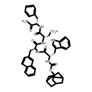 NC(=O)[C@H](Cc1ccccc1)NC(=O)[C@H](CC(=O)O)NC(=O)[C@H](Cc1ccc2ccccc2c1)NC(=O)[C@H](Cc1c[nH]c2ccccc12)NC(=O)OC12CC3CC(CC(C3)C1)C2